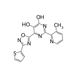 Cc1cccnc1-c1nc(O)c(O)c(-c2nc(-c3cccs3)no2)n1